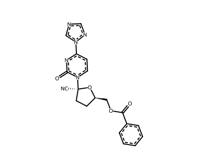 N#C[C@@]1(n2ccc(-n3cncn3)nc2=O)CC[C@H](COC(=O)c2ccccc2)O1